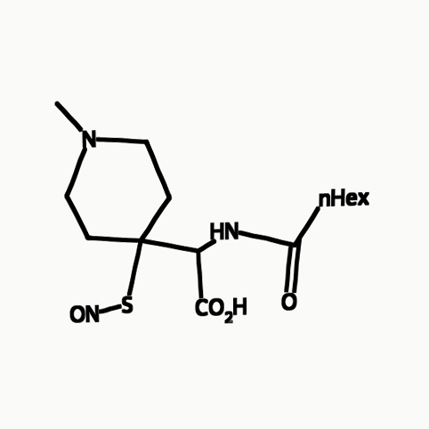 CCCCCCC(=O)NC(C(=O)O)C1(SN=O)CCN(C)CC1